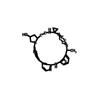 CC1c2cccc(c2F)Nc2cc(ccn2)-c2cnc(nc2)N2CC(O)CC2CCNC2(CC2)N2CCN1CC2